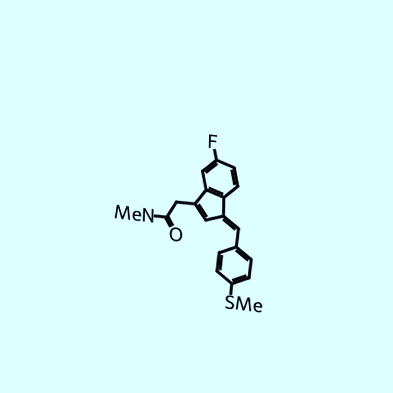 CNC(=O)CC1=C/C(=C\c2ccc(SC)cc2)c2ccc(F)cc21